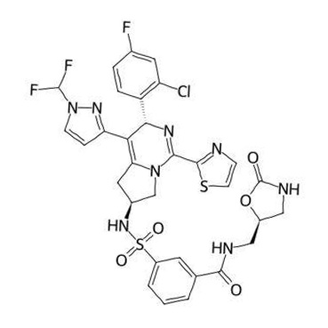 O=C1NC[C@@H](CNC(=O)c2cccc(S(=O)(=O)N[C@H]3CC4=C(c5ccn(C(F)F)n5)[C@H](c5ccc(F)cc5Cl)N=C(c5nccs5)N4C3)c2)O1